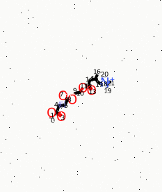 COC(=O)/C=C/C(=O)OCCOC(=O)CC(C)C[N+](C)(C)C